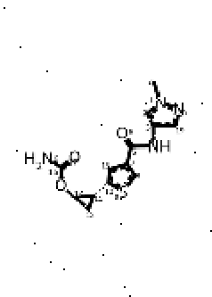 Cn1cc(NC(=O)c2csc([C@@H]3C[C@H]3OC(N)=O)c2)cn1